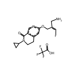 NC/C(=C/F)COc1cc2c(cn1)C(=O)N(C1CC1)CC2.O=C(O)C(F)(F)F